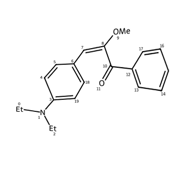 CCN(CC)c1ccc(C=C(OC)C(=O)c2ccccc2)cc1